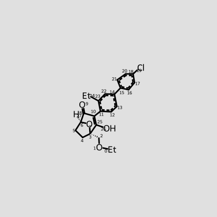 CCOC[C@]12CC[C@H](O1)C(=O)C(c1ccc(-c3ccc(Cl)cc3)cc1CC)=C2O